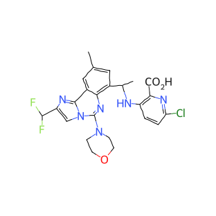 Cc1cc(C(C)Nc2ccc(Cl)nc2C(=O)O)c2nc(N3CCOCC3)n3cc(C(F)F)nc3c2c1